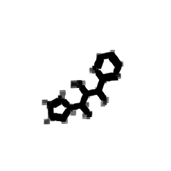 OC(C(F)c1ncccn1)C(F)n1cnnn1